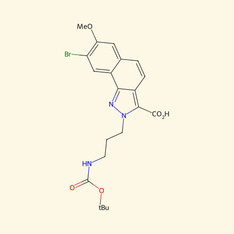 COc1cc2ccc3c(C(=O)O)n(CCCNC(=O)OC(C)(C)C)nc3c2cc1Br